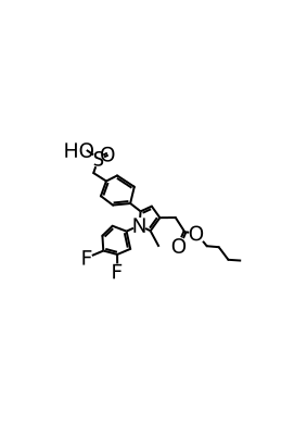 CCCCOC(=O)Cc1cc(-c2ccc(CS(=O)O)cc2)n(-c2ccc(F)c(F)c2)c1C